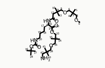 COCC(C)(C)COCC(C)(C)CC(=O)N[C@H](CCCCNC(=O)OC(C)(C)C)C(=O)OCC(C)(C)COCC(C)(C)CN